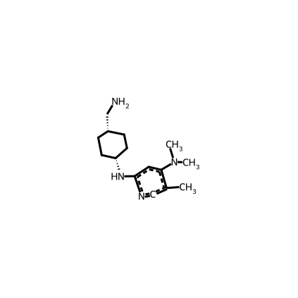 Cc1cnc(N[C@H]2CC[C@@H](CN)CC2)cc1N(C)C